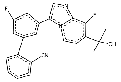 CC(C)(O)c1ccn2c(-c3cc(F)cc(-c4ccccc4C#N)c3)cnc2c1F